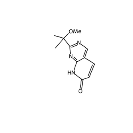 COC(C)(C)c1ncc2ccc(=O)[nH]c2n1